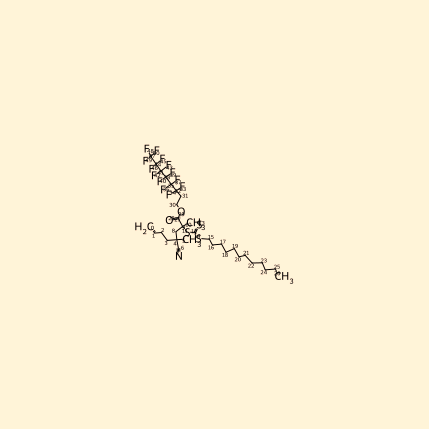 C=CCCC(C)(C#N)CC(C)(SC(=S)SCCCCCCCCCCCC)C(=O)OCCC(F)(F)C(F)(F)C(F)(F)C(F)(F)C(F)(F)C(F)(F)F